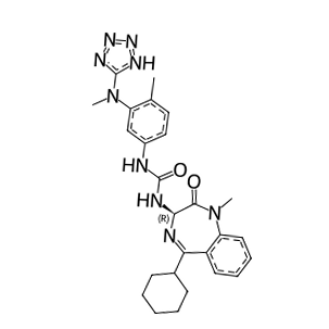 Cc1ccc(NC(=O)N[C@@H]2N=C(C3CCCCC3)c3ccccc3N(C)C2=O)cc1N(C)c1nnn[nH]1